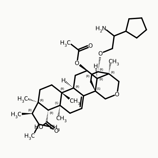 CC(=O)O[C@@H]1C[C@]23COC[C@@](C)([C@@H]2CC[C@H]2C3=CC[C@@]3(C)[C@H](C(=O)O)[C@@](C)([C@H](C)C(C)C)CC[C@]23C)[C@H]1OCC(N)C1CCCC1